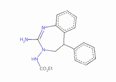 CCOC(=O)NN1CC(c2ccccc2)c2ccccc2N=C1N